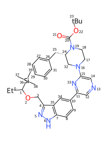 CCC(OCc1n[nH]c2ccc(-c3cncc(N4CCN(C(=O)OC(C)(C)C)[C@@H](Cc5ccccc5)C4)n3)cc12)[Si](C)(C)C